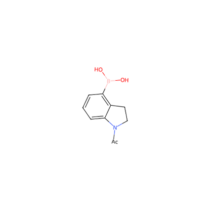 CC(=O)N1CCc2c(B(O)O)cccc21